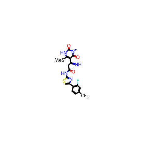 CSc1[nH]c(=O)n(C)c(=O)c1C(=N)CC(=O)Nc1nc(-c2ccc(C(F)(F)F)cc2F)cs1